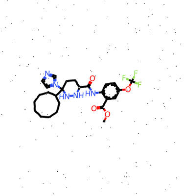 COC(=O)c1cc(OC(F)(F)F)ccc1NC(=O)C1CCC(C2CCCCCCCC2)(n2ccnc2)NN1